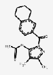 CC(=O)Oc1c(C)c(C)nn1C(=O)c1ccc2c(c1)CCCC2